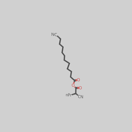 CCCC(C#N)C(=O)OC(=O)CCCCCCCCCCC#N